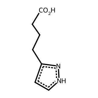 O=C(O)CCCc1cc[nH]n1